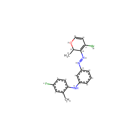 Cc1cc(F)ccc1Nc1cccc(N=NC2=C(Br)C=COC2C)c1